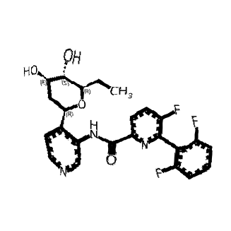 CC[C@H]1O[C@@H](c2ccncc2NC(=O)c2ccc(F)c(-c3c(F)cccc3F)n2)C[C@@H](O)[C@@H]1O